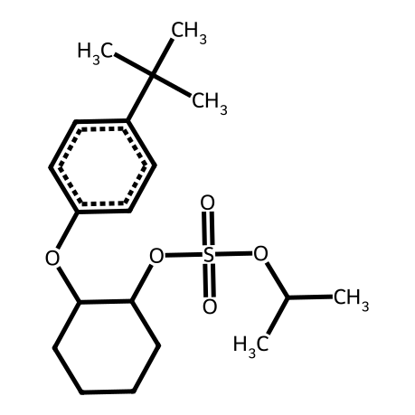 CC(C)OS(=O)(=O)OC1CCCCC1Oc1ccc(C(C)(C)C)cc1